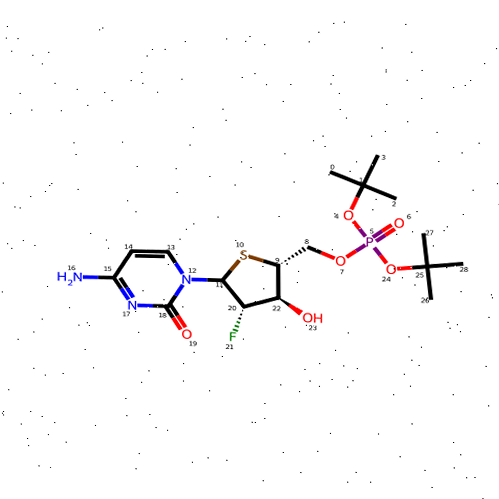 CC(C)(C)OP(=O)(OC[C@H]1SC(n2ccc(N)nc2=O)[C@@H](F)[C@@H]1O)OC(C)(C)C